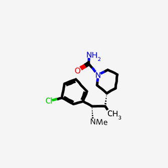 CN[C@H](c1cccc(Cl)c1)C(C)[C@H]1CCCN(C(N)=O)C1